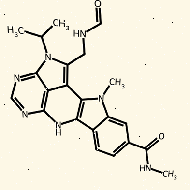 CNC(=O)c1ccc2c3c(n(C)c2c1)-c1c(CNC=O)n(C(C)C)c2ncnc(c12)N3